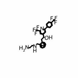 NCCNC[C]12[CH]3[CH]4[CH]5[C]1(C[C@H](O)c1cc(-c6ccc(C(F)(F)F)cc6)nc(C(F)(F)F)c1)[Fe]43521678[CH]2[CH]1[CH]6[CH]7[CH]28